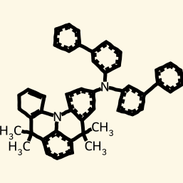 CC1(C)C2=C(C=CCC2)N2c3ccc(N(c4cccc(-c5ccccc5)c4)c4cccc(-c5ccccc5)c4)cc3C(C)(C)c3cccc1c32